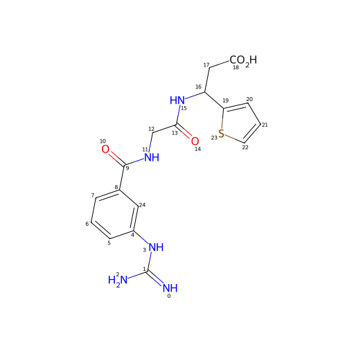 N=C(N)Nc1cccc(C(=O)NCC(=O)NC(CC(=O)O)c2cccs2)c1